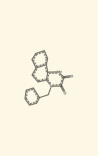 O=c1[nH]c2c3ccccc3ccc2n(Cc2ccccc2)c1=O